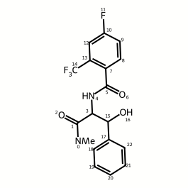 CNC(=O)C(NC(=O)c1ccc(F)cc1C(F)(F)F)C(O)c1ccccc1